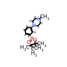 CN1CCN(c2[c]ccc(B3OC(C)(C)C(C)(C)O3)c2)CC1